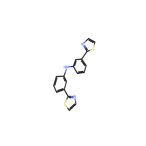 c1cc(Nc2cccc(-c3nccs3)c2)cc(-c2nccs2)c1